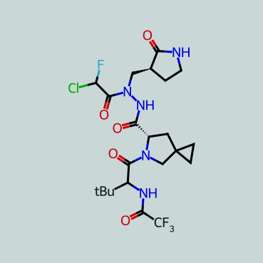 CC(C)(C)C(NC(=O)C(F)(F)F)C(=O)N1CC2(CC2)C[C@H]1C(=O)NN(C[C@@H]1CCNC1=O)C(=O)C(F)Cl